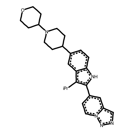 CC(C)c1c(-c2ccn3nncc3c2)[nH]c2ccc(C3CCN(C4CCOCC4)CC3)cc12